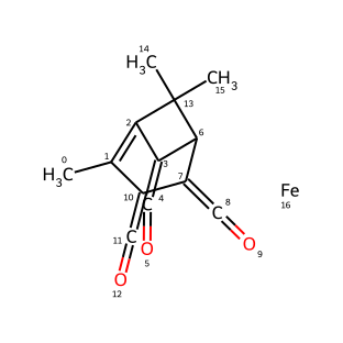 CC1=C2C(=C=O)C(C(=C=O)C1=C=O)C2(C)C.[Fe]